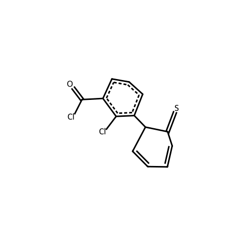 O=C(Cl)c1cccc(C2C=CC=CC2=S)c1Cl